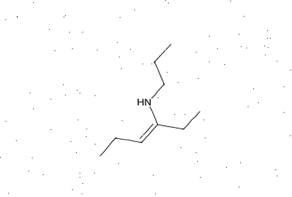 CCC=C(CC)NCCC